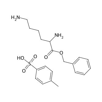 Cc1ccc(S(=O)(=O)O)cc1.NCCCCC(N)C(=O)OCc1ccccc1